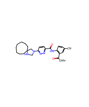 COC(=O)c1cc(C#N)ccc1NC(=O)c1ccc(N2CNC3(CCCCCCCC3)C2)nn1